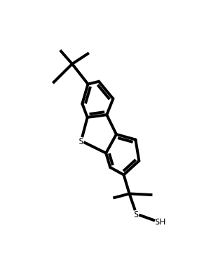 CC(C)(C)c1ccc2c(c1)sc1cc(C(C)(C)SS)ccc12